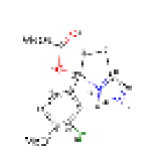 COC(=O)OC1(c2ccc(OC)c(F)c2)CCc2cncn21